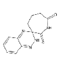 O=C1CCCC2(N=c3ccccc3=NN2)C(=O)N1